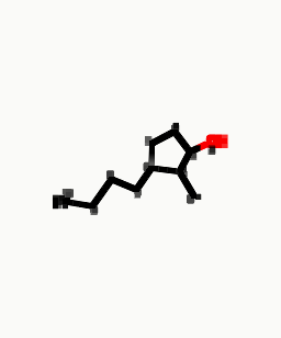 [CH2]C1C(O)CCC1CCCC(C)C